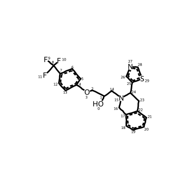 OC(COc1ccc(C(F)(F)F)cc1)CN1Cc2ccccc2CC1c1cncs1